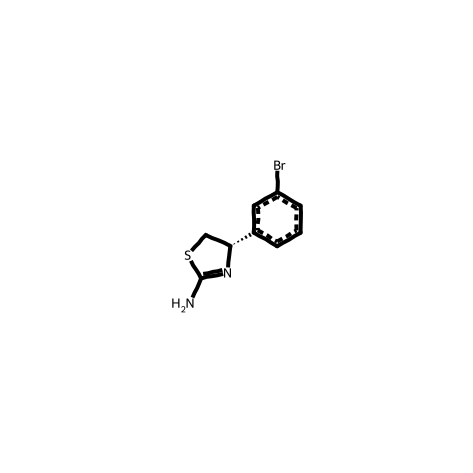 NC1=N[C@@H](c2cccc(Br)c2)CS1